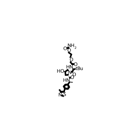 Cc1ncsc1-c1ccc([C@H](C)NC(=O)[C@@H]2C[C@@H](O)CN2C(=O)C(NC(=O)COCCCOC(N)=O)C(C)(C)C)cc1